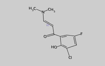 CN(C)/C=C/C(=O)c1cc(F)cc(Cl)c1O